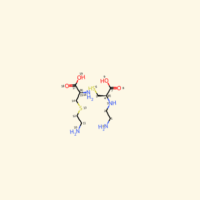 NCCN[C@@H](CS)C(=O)O.NCCSC[C@H](N)C(=O)O